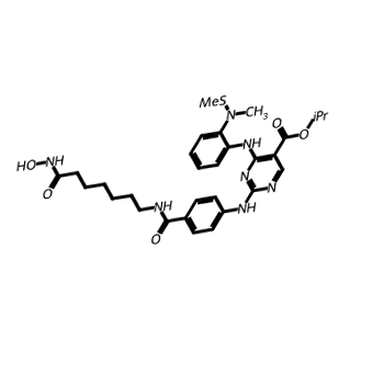 CSN(C)c1ccccc1Nc1nc(Nc2ccc(C(=O)NCCCCCCC(=O)NO)cc2)ncc1C(=O)OC(C)C